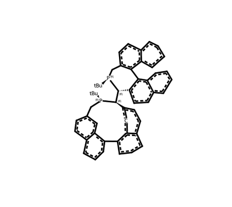 CC(C)(C)[P@@]1Cc2ccc3cccc(c3c2)-c2cccc3ccc(cc23)[C@@H]1[C@H]1c2ccc3ccccc3c2-c2c(ccc3ccccc23)C[P@]1C(C)(C)C